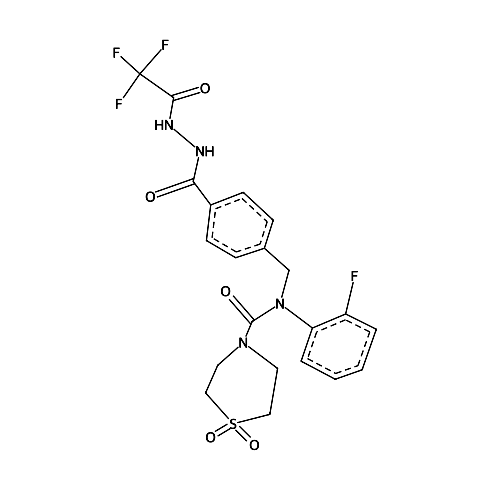 O=C(NNC(=O)C(F)(F)F)c1ccc(CN(C(=O)N2CCS(=O)(=O)CC2)c2ccccc2F)cc1